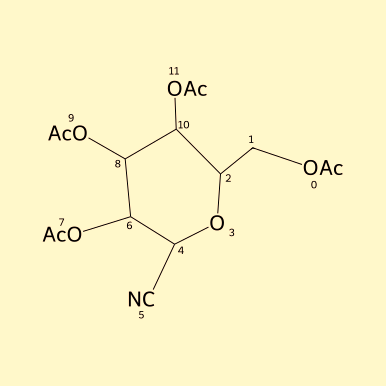 CC(=O)OCC1OC(C#N)C(OC(C)=O)C(OC(C)=O)C1OC(C)=O